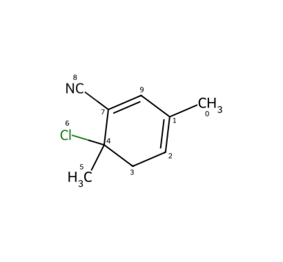 CC1=CCC(C)(Cl)C(C#N)=C1